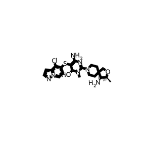 C[C@@H]1OCC2(CCN(C3=NC(N)=C(Sc4ccn5nccc5c4Cl)C(O)N3C)CC2)[C@@H]1N